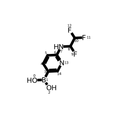 OB(O)c1ccc(NC(F)C(F)F)nc1